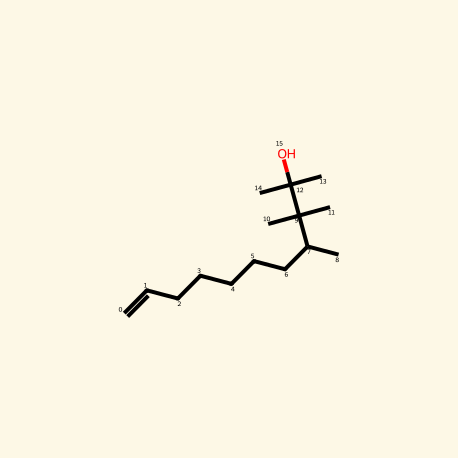 C=CCCCCCC(C)C(C)(C)C(C)(C)O